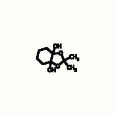 CC1(C)OC2(O)CCCCC2(O)O1